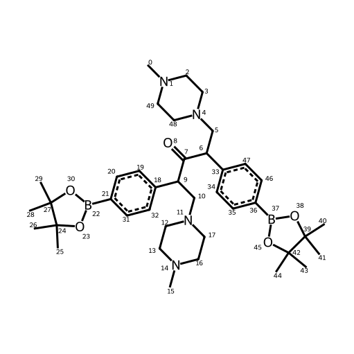 CN1CCN(CC(C(=O)C(CN2CCN(C)CC2)c2ccc(B3OC(C)(C)C(C)(C)O3)cc2)c2ccc(B3OC(C)(C)C(C)(C)O3)cc2)CC1